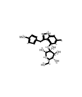 CSc1ccc(Cc2n[nH]c3cc(C)cc(O[C@]4(O)[C@H](O)O[C@H](CO)[C@@H](O)[C@@H]4O)c23)cc1